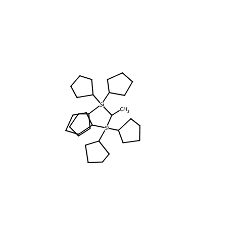 CC([Si](C1CCCC1)(C1CCCC1)C1CCCC1)[Si](C1CCCC1)(C1CCCC1)C1CCCC1